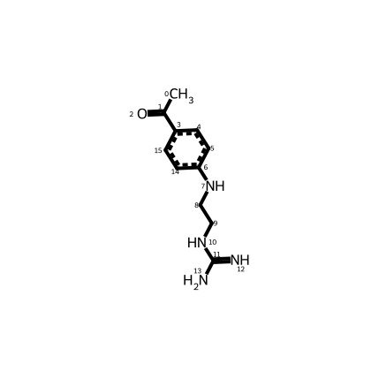 CC(=O)c1ccc(NCCNC(=N)N)cc1